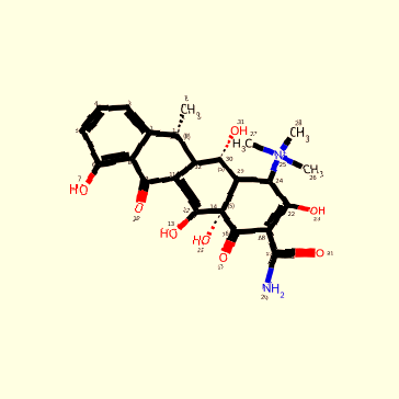 C[C@H]1c2cccc(O)c2C(=O)C2=C(O)[C@]3(O)C(=O)C(C(N)=O)=C(O)C([N+](C)(C)C)C3[C@@H](O)C21